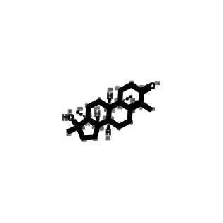 CC1=C2CC[C@@H]3[C@@H](CC[C@@]4(C)[C@H]3CCC4(C)O)[C@@]2(C)CCC1=O